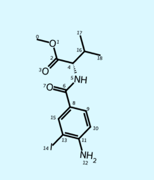 COC(=O)[C@@H](NC(=O)c1ccc(N)c(I)c1)C(C)C